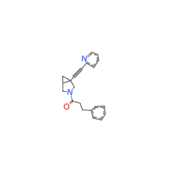 O=C(CCc1ccccc1)N1CC2CC2(C#Cc2ccccn2)C1